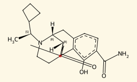 C[C@@H](C1CCC1)N1CCC23CC(=O)CC[C@H]2[C@H]1Cc1ccc(C(N)=O)c(O)c13